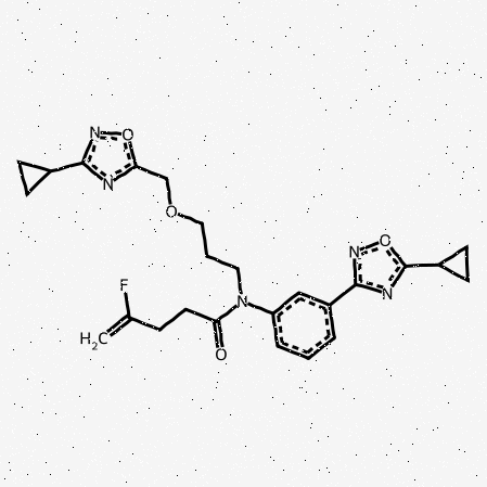 C=C(F)CCC(=O)N(CCCOCc1nc(C2CC2)no1)c1cccc(-c2noc(C3CC3)n2)c1